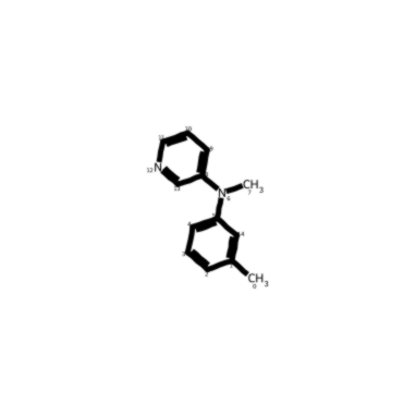 Cc1cccc(N(C)c2cccnc2)c1